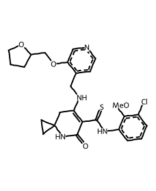 COc1c(Cl)cccc1NC(=S)C1=C(NCc2ccncc2OCC2CCCO2)CC2(CC2)NC1=O